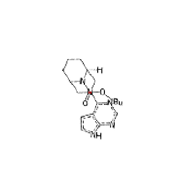 CC(C)(C)OC(=O)N1C2CCC[C@H]1CN(c1ncnc3[nH]ccc13)C2